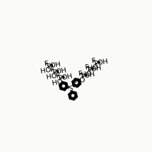 OP(O)F.OP(O)F.OP(O)F.OP(O)F.OP(O)F.OP(O)F.c1ccc([S+](c2ccccc2)c2ccccc2)cc1